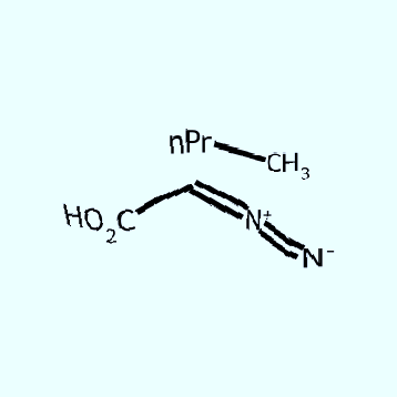 CCCC.[N-]=[N+]=CC(=O)O